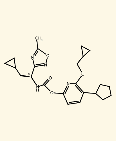 Cc1nc([C@H](CC2CC2)NC(=O)Oc2ccc(C3CCCC3)c(OCC3CC3)n2)no1